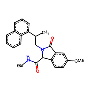 COc1ccc2c(c1)C(=O)N(CC(C)c1cccc3ccccc13)C2C(=O)NC(C)(C)C